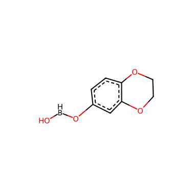 OBOc1ccc2c(c1)OCCO2